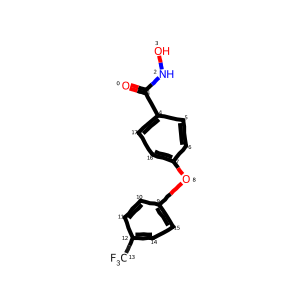 O=C(NO)c1ccc(Oc2ccc(C(F)(F)F)cc2)cc1